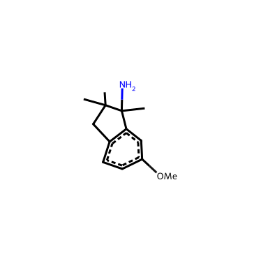 COc1ccc2c(c1)C(C)(N)C(C)(C)C2